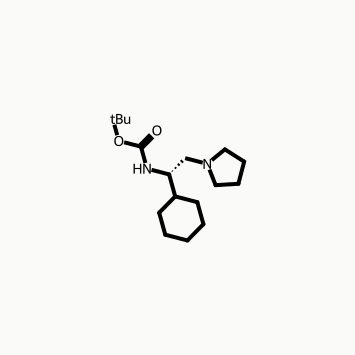 CC(C)(C)OC(=O)N[C@H](CN1CCCC1)C1CCCCC1